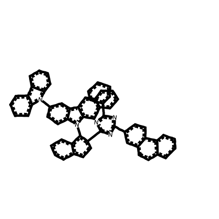 c1ccc(-c2nc(-c3ccc4c(ccc5ccccc54)c3)nc(-c3ccc4ccccc4c3-n3c4ccc(-n5c6ccccc6c6ccccc65)cc4c4cc5ccccc5cc43)n2)cc1